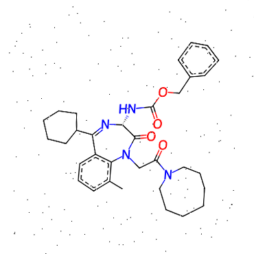 Cc1cccc2c1N(CC(=O)N1CCCCCCC1)C(=O)[C@@H](NC(=O)OCc1ccccc1)N=C2C1CCCCC1